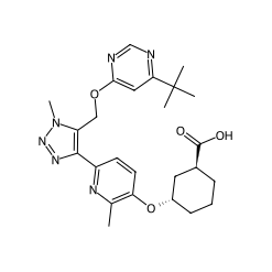 Cc1nc(-c2nnn(C)c2COc2cc(C(C)(C)C)ncn2)ccc1O[C@H]1CCC[C@H](C(=O)O)C1